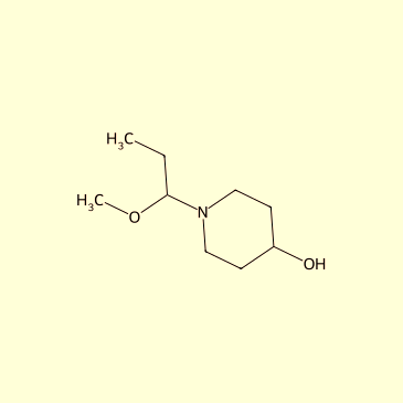 CCC(OC)N1CCC(O)CC1